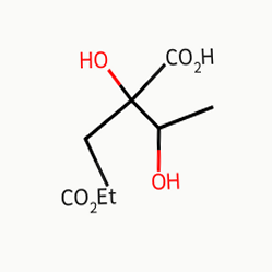 CCOC(=O)CC(O)(C(=O)O)C(C)O